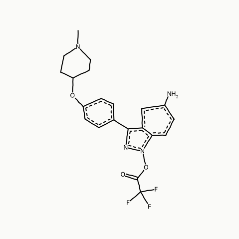 CN1CCC(Oc2ccc(-c3nn(OC(=O)C(F)(F)F)c4ccc(N)cc34)cc2)CC1